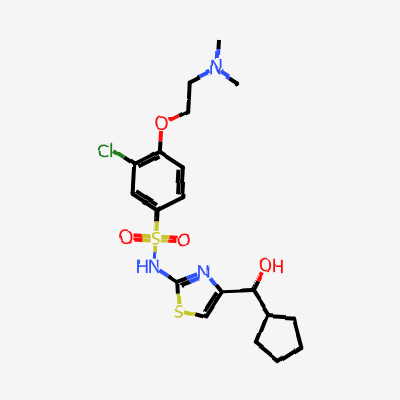 CN(C)CCOc1ccc(S(=O)(=O)Nc2nc(C(O)C3CCCC3)cs2)cc1Cl